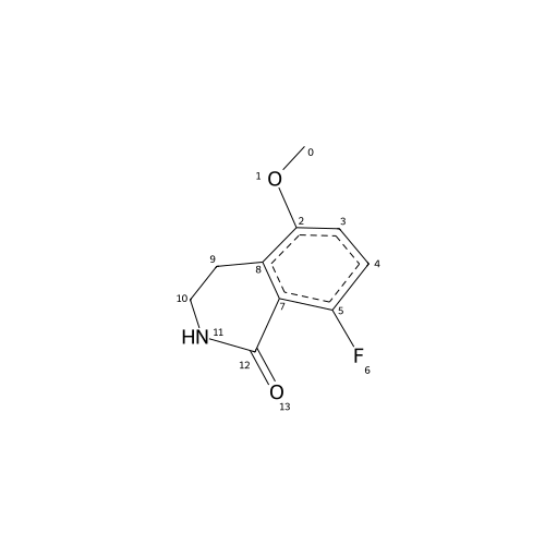 COc1ccc(F)c2c1CCNC2=O